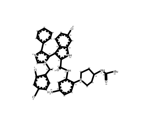 C[C@@H](c1ccc(Cl)cc1Cl)n1cnc(-c2ccccc2)c1-c1c(C(=O)Nc2cc(N)ccc2N2CCC(NC(=O)C(C)(C)C)CC2)[nH]c2cc(Cl)ccc12